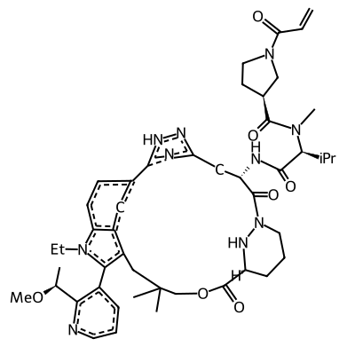 C=CC(=O)N1CC[C@H](C(=O)N(C)[C@H](C(=O)N[C@H]2Cc3n[nH]c(n3)-c3ccc4c(c3)c(c(-c3cccnc3[C@H](C)OC)n4CC)CC(C)(C)COC(=O)[C@@H]3CCCN(N3)C2=O)C(C)C)C1